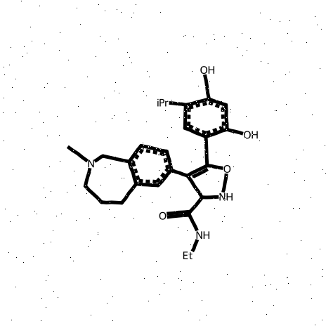 CCNC(=O)C1NOC(c2cc(C(C)C)c(O)cc2O)=C1c1ccc2c(c1)CCCN(C)C2